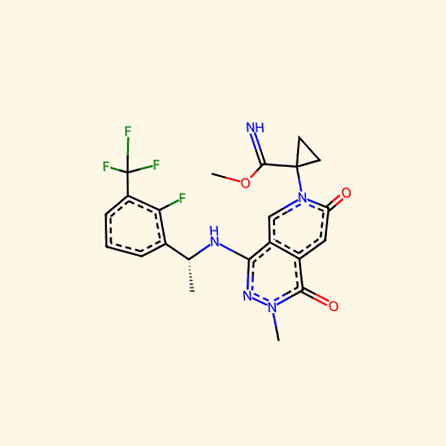 COC(=N)C1(n2cc3c(N[C@H](C)c4cccc(C(F)(F)F)c4F)nn(C)c(=O)c3cc2=O)CC1